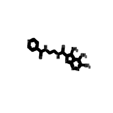 Cc1nnc2sc(C(=O)NCCNC(=O)c3ccncc3)c(N)c2c1C